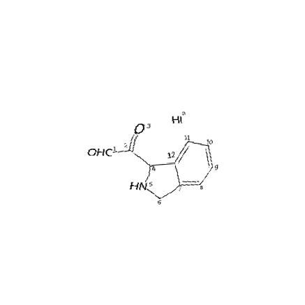 I.O=CC(=O)C1NCc2ccccc21